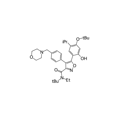 CCN(C(=O)c1noc(-c2cc(C(C)C)c(OC(C)(C)C)cc2O)c1-c1ccc(CN2CCOCC2)cc1)C(C)(C)C